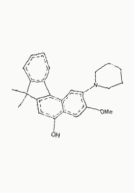 COc1cc2c(O)cc3c(c2cc1N1CCCCC1)-c1ccccc1C3(C)C